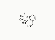 O=S(=O)(O)C(F)(F)F.SCc1ccccc1